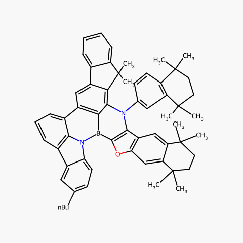 CCCCc1ccc2c(c1)c1cccc3c1n2B1c2oc4cc5c(cc4c2N(c2ccc4c(c2)C(C)(C)CCC4(C)C)c2c1c-3cc1c2C(C)(C)c2ccccc2-1)C(C)(C)CCC5(C)C